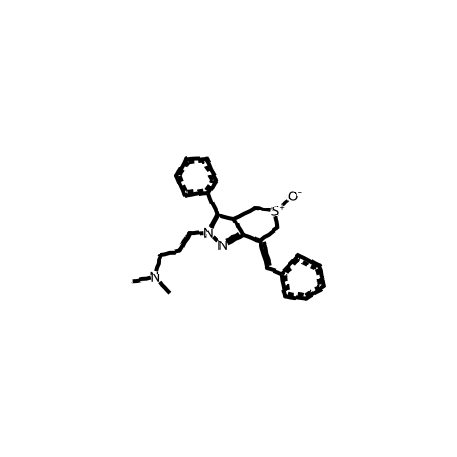 CN(C)CCCN1N=C2C(=Cc3ccccc3)C[S+]([O-])CC2C1c1ccccc1